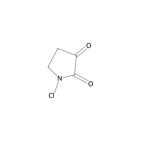 O=C1CCN(Cl)C1=O